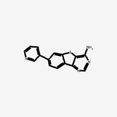 Nc1ncnc2c1sc1cc(-c3cccnc3)ccc12